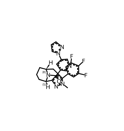 Cn1nc2c(c1-c1cc(F)c(F)c(F)c1)C[C@H]1CCC[C@@H]2N1C(=O)c1cncc(-n2cccn2)c1